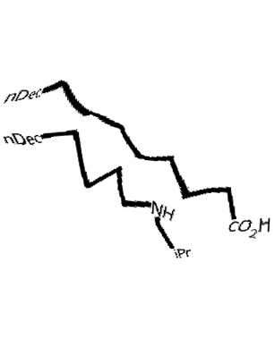 CCCCCCCCCCCCCCCCCC(=O)O.CCCCCCCCCCCCCCNC(C)C